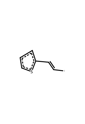 [CH]/C=[C]/c1cccs1